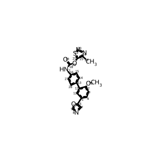 COc1ccc(-c2cnco2)cc1-c1ccc(NC(=O)Oc2snnc2C)cc1